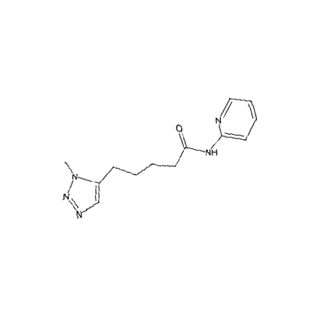 Cn1nncc1CCCCC(=O)Nc1ccccn1